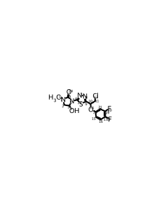 CN1CC(O)N(c2nnc(C(CCl)Oc3ccc(F)c(F)c3)s2)C1=O